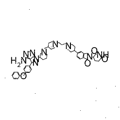 Nc1ncnc2c1c(-c1ccc(Oc3ccccc3)cc1)nn2C1CCCN(CC2CCN(CCCN3CCC(c4ccc5c(c4)CN(C4CCC(=O)NC4=O)C5=O)CC3)CC2)C1